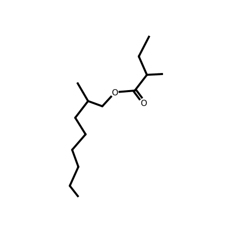 CCCCCCC(C)COC(=O)C(C)CC